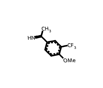 COc1ccc(C(C)=N)cc1C(F)(F)F